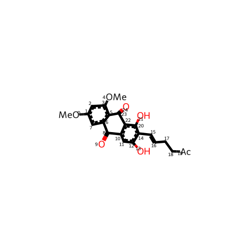 COc1cc(OC)c2c(c1)C(=O)c1cc(O)c(/C=C/CCC(C)=O)c(O)c1C2=O